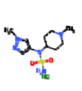 CN1CCC(N(c2cnn(C)c2)S(N)(=O)=O)CC1.Cl